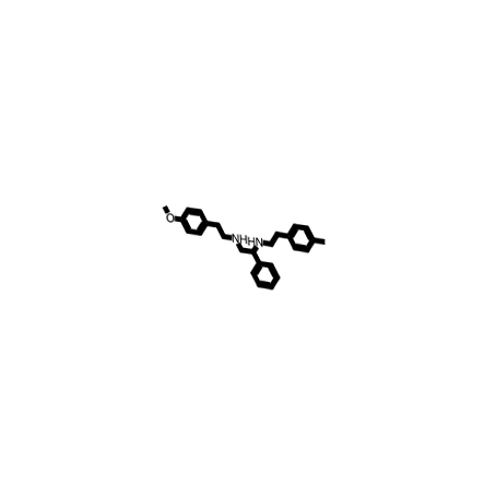 COc1ccc(CCNCC(NCCc2ccc(C)cc2)c2ccccc2)cc1